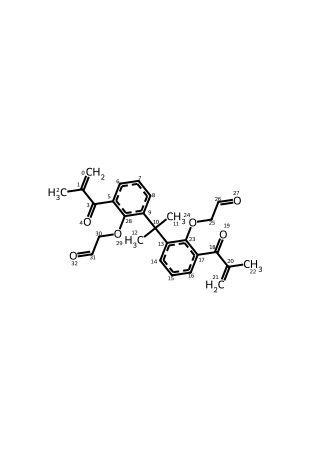 C=C(C)C(=O)c1cccc(C(C)(C)c2cccc(C(=O)C(=C)C)c2OCC=O)c1OCC=O